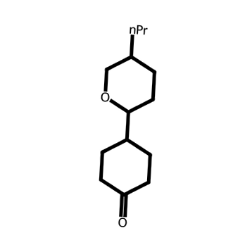 CCCC1CCC(C2CCC(=O)CC2)OC1